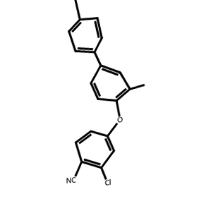 Cc1ccc(-c2ccc(Oc3ccc(C#N)c(Cl)c3)c(C)c2)cc1